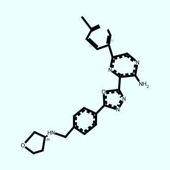 C=C(C)/C=C\C(=C/C)c1cnc(N)c(-c2nnc(-c3ccc(CN[C@@H]4CCOC4)cc3)o2)n1